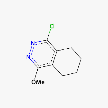 COc1nnc(Cl)c2c1CCCC2